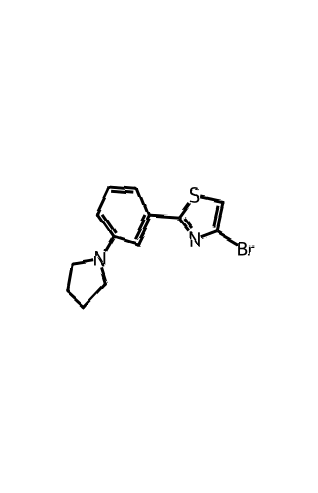 Brc1csc(-c2cccc(N3CCCC3)c2)n1